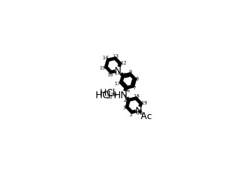 CC(=O)N1CCC(Nc2cccc(N3CCCCC3)c2)CC1.Cl.Cl